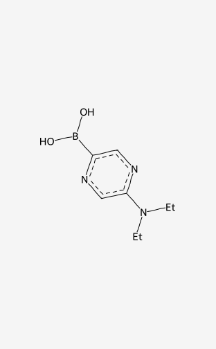 CCN(CC)c1cnc(B(O)O)cn1